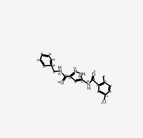 Cc1ccc(Cl)cc1C(=O)Nc1cc(C(=O)NCc2ccccc2)n[nH]1